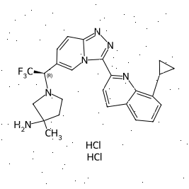 CC1(N)CCN([C@H](c2ccc3nnc(-c4ccc5cccc(C6CC6)c5n4)n3c2)C(F)(F)F)C1.Cl.Cl